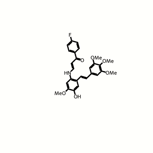 COc1cc(NC=CC(=O)c2ccc(F)cc2)c(C=Cc2cc(OC)c(OC)c(OC)c2)cc1O